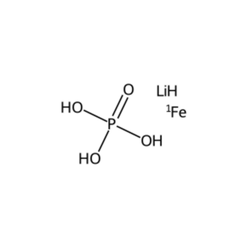 O=P(O)(O)O.[1Fe].[LiH]